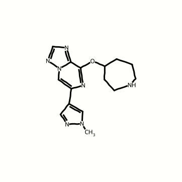 Cn1cc(-c2cn3ncnc3c(OC3CCCNCC3)n2)cn1